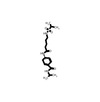 CC(C)NC(=O)C1=CC[C@@H](NC(=O)CCCCNS(=O)(=O)C(C)C)C=C1